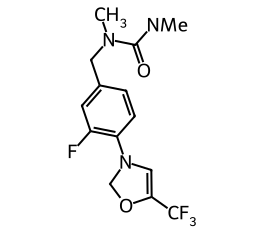 CNC(=O)N(C)Cc1ccc(N2C=C(C(F)(F)F)OC2)c(F)c1